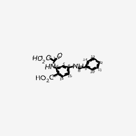 O=C(O)C(=O)Nc1cc(NCc2ccccc2)ccc1C(=O)O